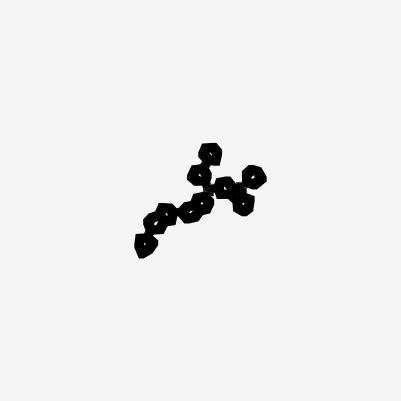 c1ccc(-c2cccc(N(c3ccc4ccc(-c5ccc6ccc(-c7ccccc7)cc6c5)cc4c3)c3ccc4c(c3)c3ccccc3n4-c3ccccc3)c2)cc1